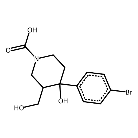 O=C(O)N1CCC(O)(c2ccc(Br)cc2)C(CO)C1